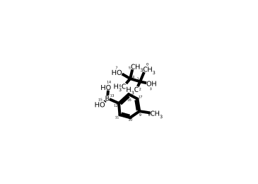 CC(C)(O)C(C)(C)O.Cc1ccc(B(O)O)cc1